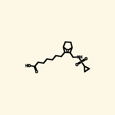 O=C(O)CCCCCCC1C2CCC(O2)C1CNS(=O)(=O)C1CC1